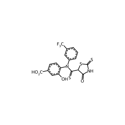 O=C(O)c1ccc(N(C(=S)C2SC(=S)NC2=O)c2cccc(C(F)(F)F)c2)c(O)c1